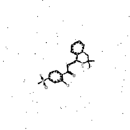 CC1(C)Cc2ccccc2/C(=C/C(=O)c2ccc(S(C)(=O)=O)cc2Cl)N1